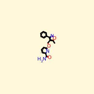 Cc1onc(-c2ccccc2)c1COc1cc[c]c(C(N)=O)n1